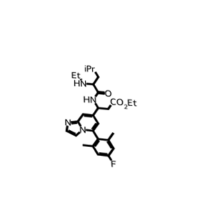 CCNC(CC(C)C)C(=O)NC(CC(=O)OCC)c1cc(-c2c(C)cc(F)cc2C)n2ccnc2c1